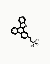 O=P(O)(O)CCC1C=Cc2c(c3c(c4ccccc24)-c2ccccc2N=3)=C1